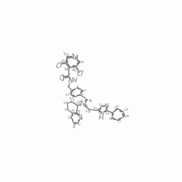 O=C(NCc1ccc(CN(Cc2cnc(-c3ccccc3)[nH]2)C2CCCc3cccnc32)cc1)c1c(Cl)cncc1Cl